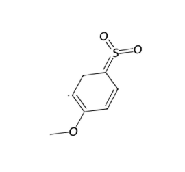 COC1=[C]CC(=S(=O)=O)C=C1